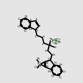 C[C]([Zr+2])(CCCC1C=Cc2ccccc21)CCC1C2=C(c3ccccc31)[Si]2(C)C.[Cl-].[Cl-]